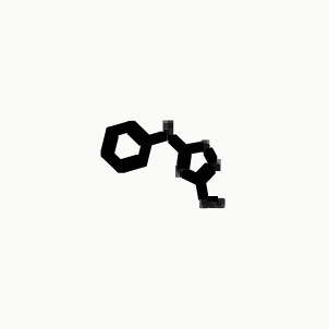 CSc1nsc(Nc2ccccc2)n1